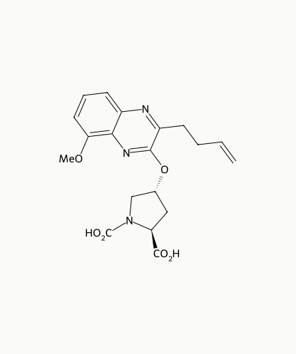 C=CCCc1nc2cccc(OC)c2nc1O[C@@H]1C[C@@H](C(=O)O)N(C(=O)O)C1